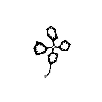 BrCc1ccc([Si](c2ccccc2)(c2ccccc2)c2ccccc2)cc1